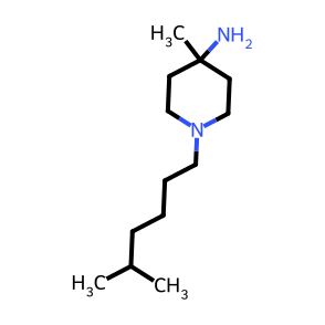 CC(C)CCCCN1CCC(C)(N)CC1